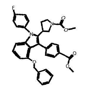 COC(=O)c1ccc(-c2c(C3CCN(C(=O)OC)C3)n(-c3ccc(F)cc3)c3cccc(OCc4ccccc4)c23)cc1